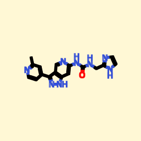 Cc1cc(-c2n[nH]c3cc(NC(=O)NCc4ncc[nH]4)ncc23)ccn1